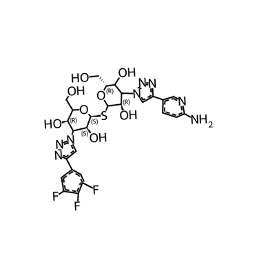 Nc1ccc(-c2cn(C3C(O)[C@@H](CO)OC(S[C@@H]4OC(CO)[C@H](O)C(n5cc(-c6cc(F)c(F)c(F)c6)nn5)[C@@H]4O)[C@@H]3O)nn2)cn1